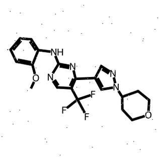 COc1c[c]ccc1Nc1ncc(C(F)(F)F)c(-c2cnn(C3CCOCC3)c2)n1